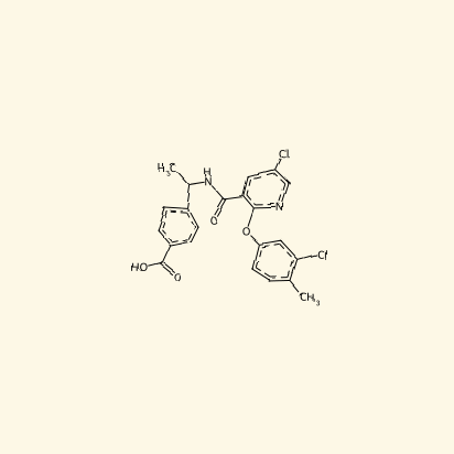 Cc1ccc(Oc2ncc(Cl)cc2C(=O)NC(C)c2ccc(C(=O)O)cc2)cc1Cl